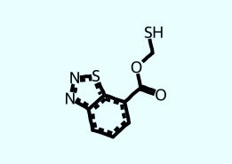 O=C(OCS)c1cccc2nnsc12